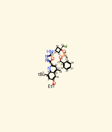 CCOc1cc(C(C)(C)C)c2nc(-c3nnc(N[C@H]4C[C@@](CF)(OP(C)OCc5ccccc5)C4)o3)cc(C)c2c1